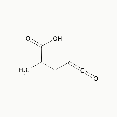 CC(CC=C=O)C(=O)O